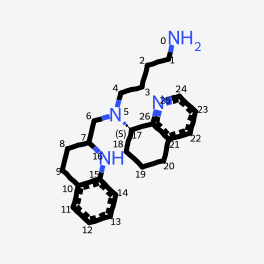 NCCCCN(CC1CCc2ccccc2N1)[C@H]1CCCc2cccnc21